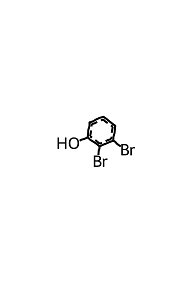 Oc1cccc(Br)c1Br